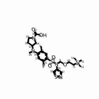 Cc1cc(S(=O)(=O)N(COCC[Si](C)(C)C)c2cnsc2)c(F)cc1N(C)C1CCN(C(=O)O)C1